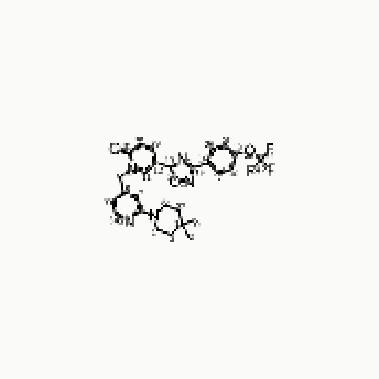 CC1(C)CCN(c2cc(Cn3cc(-c4nc(-c5ccc(OC(F)(F)F)cc5)no4)ccc3=O)ccn2)CC1